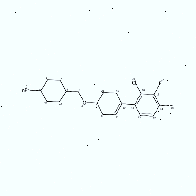 CCCC1CCC(COC2CC=C(c3ccc(C)c(F)c3Cl)CC2)CC1